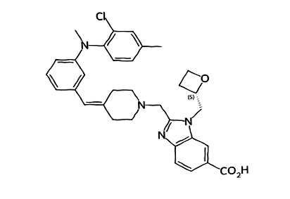 Cc1ccc(N(C)c2cccc(C=C3CCN(Cc4nc5ccc(C(=O)O)cc5n4C[C@@H]4CCO4)CC3)c2)c(Cl)c1